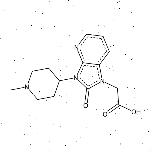 CN1CCC(n2c(=O)n(CC(=O)O)c3cccnc32)CC1